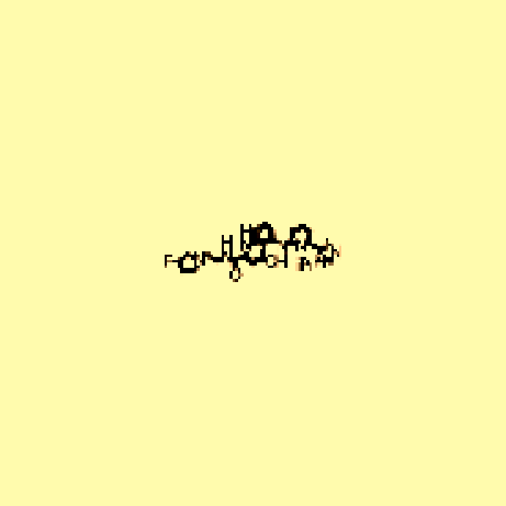 CC(C)n1cnnc1-c1cccc(Nc2cccc3[nH]c(C(=O)NCCN4CC[C@@H](F)C4)cc(=O)c23)n1